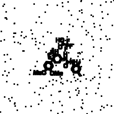 COc1ccc([C@@]23CC[C@@H](NC(=O)Nc4ccc(C)cc4C)C[C@@H]2N(C)CC3)cc1OC.O=C(O)C(F)(F)F